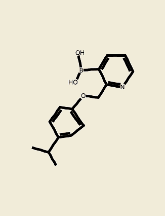 CC(C)c1ccc(OCc2ncccc2B(O)O)cc1